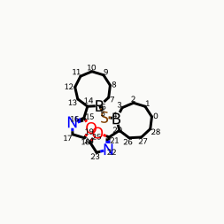 C1CCCB(SB2CCCCCCCC2C2=NCCO2)C(C2=NCCO2)CCC1